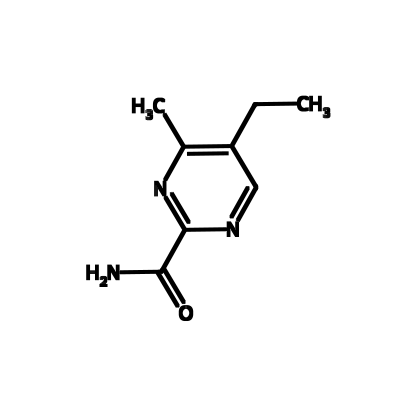 CCc1cnc(C(N)=O)nc1C